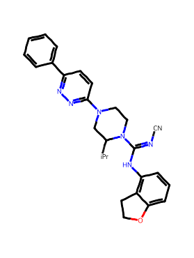 CC(C)C1CN(c2ccc(-c3ccccc3)nn2)CCN1/C(=N\C#N)Nc1cccc2c1CCO2